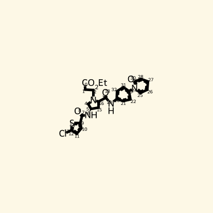 CCOC(=O)CCN1C[C@@H](NC(=O)c2ccc(Cl)s2)CC1C(=O)Nc1ccc(-n2ccccc2=O)cc1